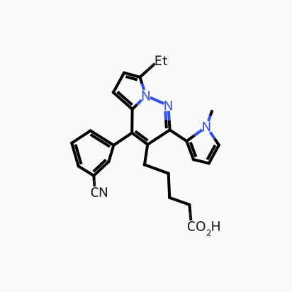 CCc1ccc2c(-c3cccc(C#N)c3)c(CCCCC(=O)O)c(-c3cccn3C)nn12